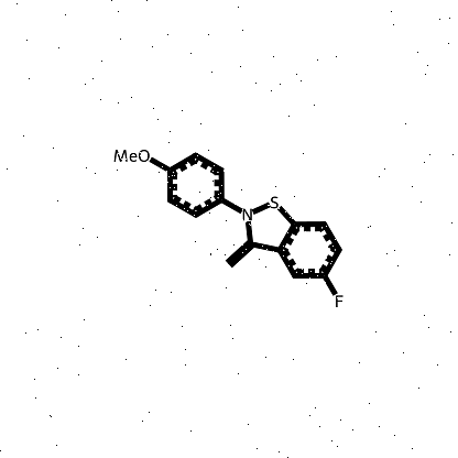 C=C1c2cc(F)ccc2SN1c1ccc(OC)cc1